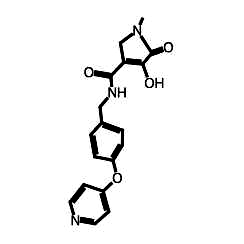 CN1CC(C(=O)NCc2ccc(Oc3ccncc3)cc2)=C(O)C1=O